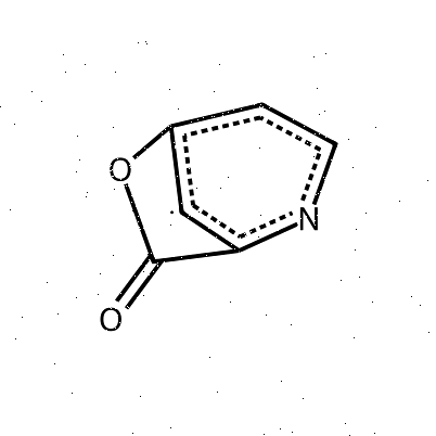 O=C1Oc2[c]c1ncc2